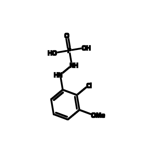 COc1cccc(NNP(=O)(O)O)c1Cl